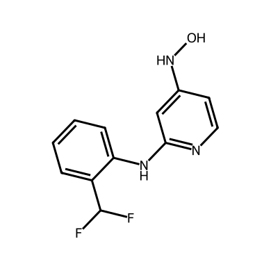 ONc1ccnc(Nc2ccccc2C(F)F)c1